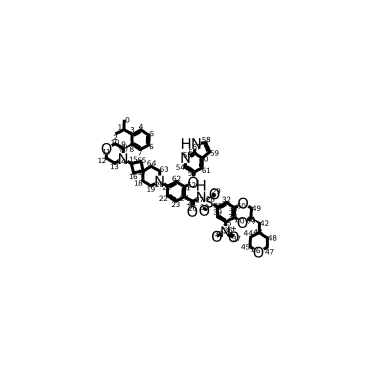 CC(C)c1ccccc1[C@@H]1COCCN1C1CC2(CCN(c3ccc(C(=O)NS(=O)(=O)c4cc5c(c([N+](=O)[O-])c4)O[C@H](CC4CCOCC4)CO5)c(Oc4cnc5[nH]ccc5c4)c3)CC2)C1